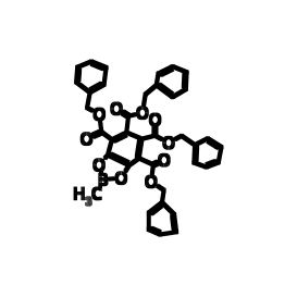 CB1Oc2c(c(C(=O)OCc3ccccc3)c(C(=O)OCc3ccccc3)c(C(=O)OCc3ccccc3)c2C(=O)OCc2ccccc2)O1